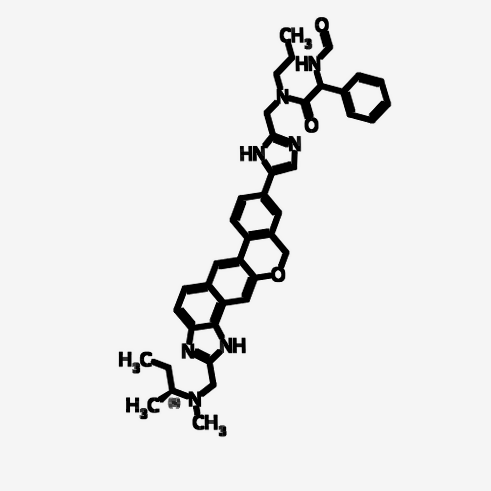 CCCN(Cc1ncc(-c2ccc3c(c2)COc2cc4c(ccc5nc(CN(C)[C@@H](C)CC)[nH]c54)cc2-3)[nH]1)C(=O)C(NC=O)c1ccccc1